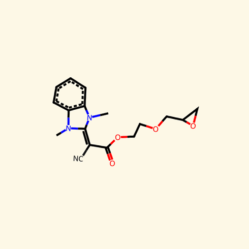 CN1C(=C(C#N)C(=O)OCCOCC2CO2)N(C)c2ccccc21